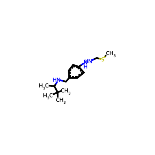 CSCNNc1ccc(CNC(C)C(C)(C)C)cc1